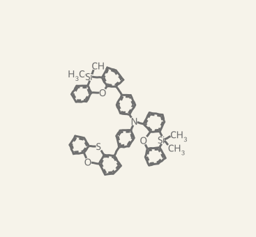 C[Si]1(C)c2ccccc2Oc2c(-c3ccc(N(c4ccc(-c5cccc6c5Sc5ccccc5O6)cc4)c4cccc5c4Oc4ccccc4[Si]5(C)C)cc3)cccc21